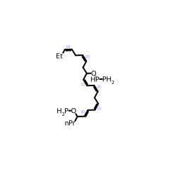 CC/C=C\C/C=C\CC(/C=C\C=C/C/C=C\C=C\C(CCC)OP)OPP